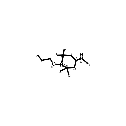 CCCON1C(C)(C)CC(NC)CC1(C)C